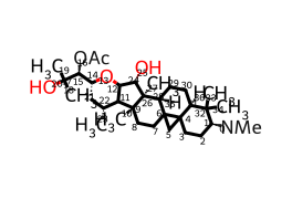 CN[C@H]1CCC23CC24CC[C@]2(C)C5C(O[C@@H]([C@H](OC(C)=O)C(C)(C)O)C[C@H]5C)[C@H](O)[C@@]2(C)[C@@H]4CC[C@H]3C1(C)C